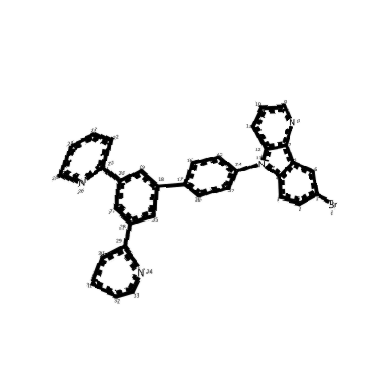 Brc1ccc2c(c1)c1ncccc1n2-c1ccc(-c2cc(-c3ccccn3)cc(-c3ccccn3)c2)cc1